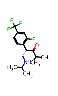 CC(C)NC[C@@H](C(=O)C(C)C)c1ccc(C(F)(F)F)cc1F